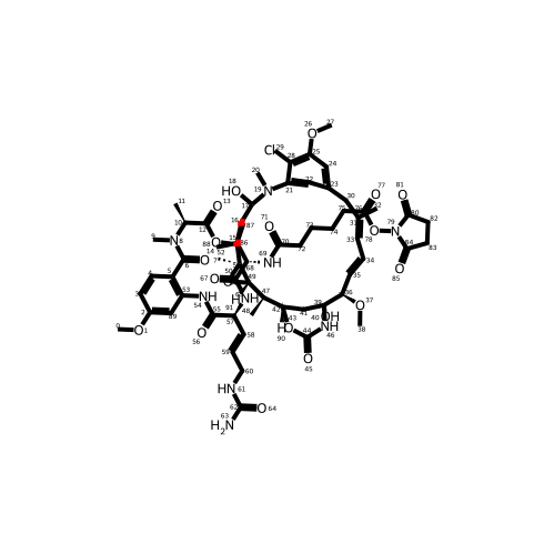 COc1ccc(C(=O)N(C)[C@@H](C)C(=O)O[C@H]2CC(O)N(C)c3cc(cc(OC)c3Cl)C/C(C)=C/C=C/[C@@H](OC)[C@@]3(O)C[C@H](OC(=O)N3)[C@@H](C)[C@@H]3O[C@@]23C)c(NC(=O)[C@H](/C=C/CNC(N)=O)NC(=O)[C@@H](NC(=O)CCCCC(=O)ON2C(=O)CCC2=O)C(C)C)c1